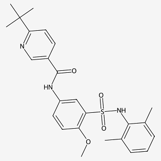 COc1ccc(NC(=O)c2ccc(C(C)(C)C)nc2)cc1S(=O)(=O)Nc1c(C)cccc1C